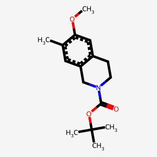 COc1cc2c(cc1C)CN(C(=O)OC(C)(C)C)CC2